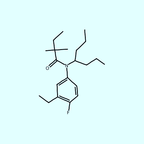 CCCC(CCC)N(C(=O)C(C)(C)CC)c1ccc(F)c(CC)c1